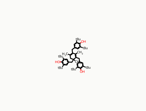 CC1=C(Cc2cc(C(C)(C)C)c(O)c(C(C)(C)C)c2)C(C)=C(Cc2cc(C(C)(C)C)c(O)c(C(C)(C)C)c2)C(C)(Cc2cc(C(C)(C)C)c(O)c(C(C)(C)C)c2)C1